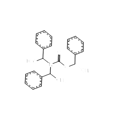 CC(c1ccccc1)N(C(=O)O[C@@H](C)c1ccccc1)C(C)c1ccccc1